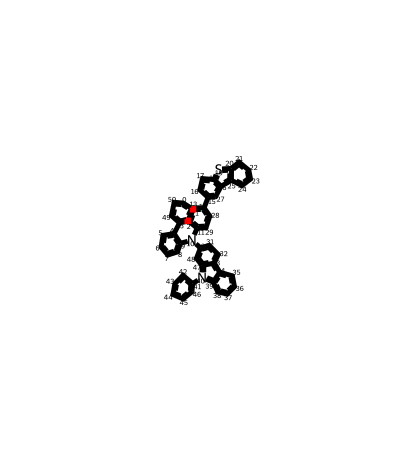 c1ccc(-c2ccccc2N(c2ccc(-c3ccc4sc5ccccc5c4c3)cc2)c2ccc3c4ccccc4n(-c4ccccc4)c3c2)cc1